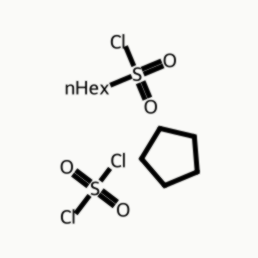 C1CCCC1.CCCCCCS(=O)(=O)Cl.O=S(=O)(Cl)Cl